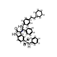 O=C1Nc2ccc(S(=O)(=O)Nc3ccccc3)cc2/C1=C(/Nc1ccc(CCN2CCCCC2)cc1)c1ccccc1